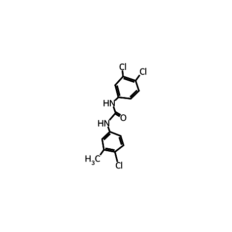 Cc1cc(NC(=O)Nc2ccc(Cl)c(Cl)c2)ccc1Cl